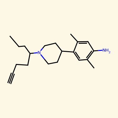 C#CCCC(CCC)N1CCC(c2cc(C)c(N)cc2C)CC1